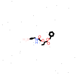 BC#CCNC(=O)COC(CC)C(=O)OCc1ccccc1